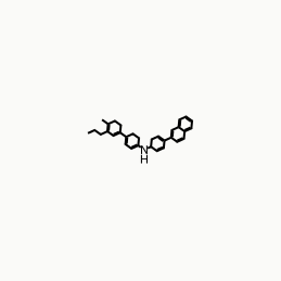 CCCC1=C(C)CCC(C2=CC=C(NC3C=CC(c4ccc5ccccc5c4)=CC3)CC2)=C1